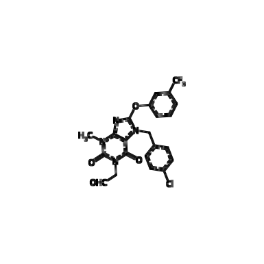 Cn1c(=O)n(CC=O)c(=O)c2c1nc(Oc1cccc(C(F)(F)F)c1)n2Cc1ccc(Cl)cc1